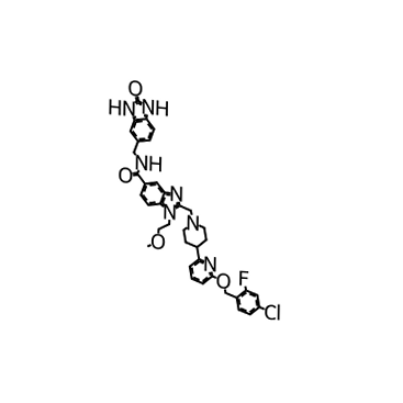 COCCn1c(CN2CCC(c3cccc(OCc4ccc(Cl)cc4F)n3)CC2)nc2cc(C(=O)NCc3ccc4[nH]c(=O)[nH]c4c3)ccc21